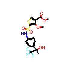 COC(=O)c1csc(S(=O)(=O)Nc2ccc(C(C)(O)C(F)(F)F)cc2)c1OC